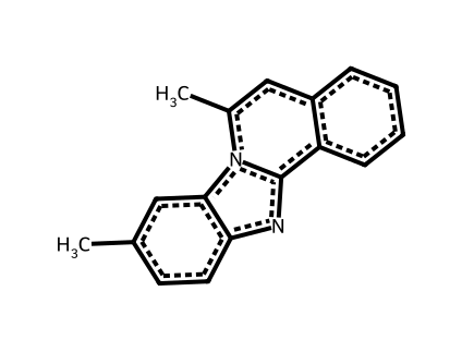 Cc1ccc2nc3c4ccccc4cc(C)n3c2c1